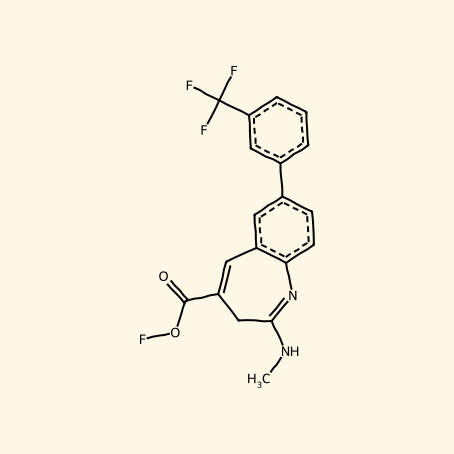 CNC1=Nc2ccc(-c3cccc(C(F)(F)F)c3)cc2C=C(C(=O)OF)C1